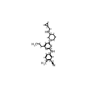 CCCc1cc(N2CCCC(NCC3CC3)C2)nc(Nc2ccc(C)c(C#N)c2)n1